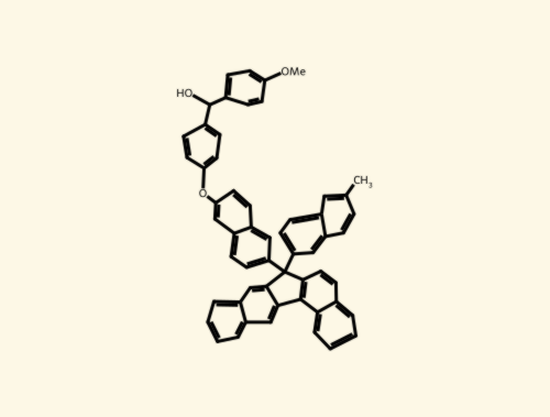 COc1ccc(C(O)c2ccc(Oc3ccc4cc(C5(c6ccc7cc(C)ccc7c6)c6cc7ccccc7cc6-c6c5ccc5ccccc65)ccc4c3)cc2)cc1